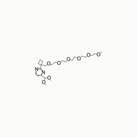 COCCOCCOCCOCCOCCOCC1(c2nccc(C(OC)OC)n2)CCC1